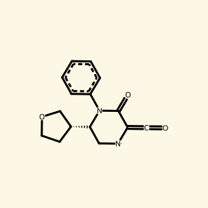 O=C=C1[N]CC([C@@H]2CCOC2)N(c2ccccc2)C1=O